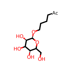 CC(=O)CCCCO[C@H]1OC(CO)[C@@H](O)C(O)[C@H]1O